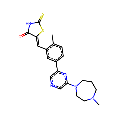 Cc1ccc(-c2cncc(N3CCCN(C)CC3)n2)cc1/C=C1\SC(=S)NC1=O